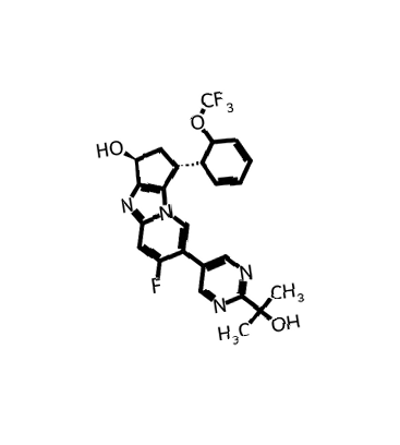 CC(C)(O)c1ncc(-c2cn3c4c(nc3cc2F)[C@@H](O)C[C@@H]4C2C=CC=CC2OC(F)(F)F)cn1